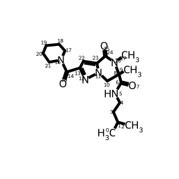 CC(C)CCNC(=O)C1(C)Cn2nc(C(=O)N3CCCCC3)cc2C(=O)N1C